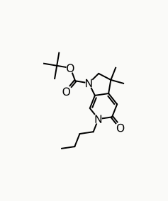 CCCCn1cc2c(cc1=O)C(C)(C)CN2C(=O)OC(C)(C)C